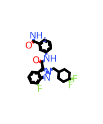 NC(=O)c1cccc(NC(=O)c2c3cccc(F)c3nn2CC2CCC(F)(F)CC2)c1